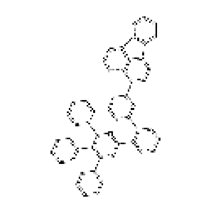 c1ccc(-c2cc(-c3ccccc3-c3cccc(-c4ccc5c6c(cccc46)-c4ccccc4-5)c3)nc(-c3ccccc3)c2-c2ccccc2)cc1